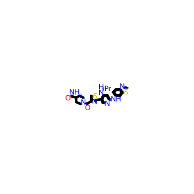 CC(C)Nc1cc(Nc2ccc3ncsc3c2)ncc1-c1nc(C(=O)N2CCC(C(N)=O)CC2)cs1